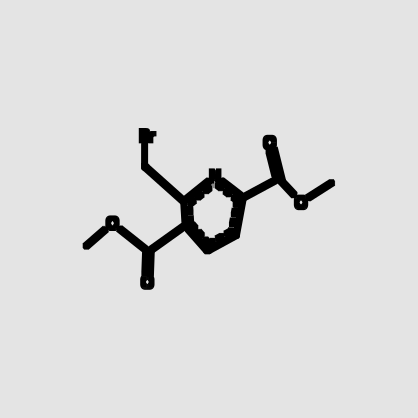 COC(=O)c1ccc(C(=O)OC)c(CBr)n1